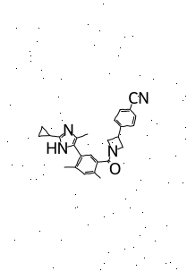 Cc1cc(C)c(-c2[nH]c(C3CC3)nc2C)cc1C(=O)N1CC(c2ccc(C#N)cc2)C1